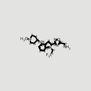 CN1CCC(Nc2cccc3c2cc(-c2noc(CN)n2)n3CC(F)(F)F)CC1